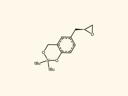 CC(C)(C)[Si]1(C(C)(C)C)OCc2cc(C[C@H]3CO3)ccc2O1